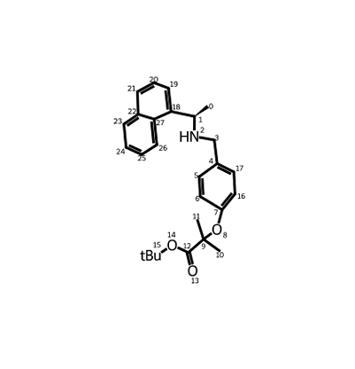 C[C@@H](NCc1ccc(OC(C)(C)C(=O)OC(C)(C)C)cc1)c1cccc2ccccc12